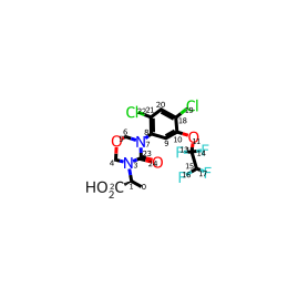 C[C@@H](C(=O)O)N1COCN(c2cc(OC(F)(F)C(F)F)c(Cl)cc2Cl)C1=O